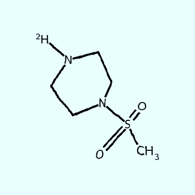 [2H]N1CCN(S(C)(=O)=O)CC1